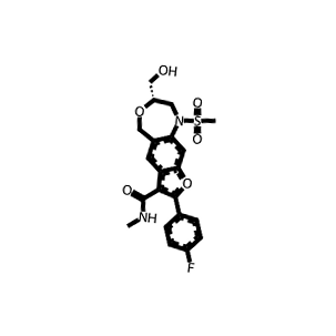 CNC(=O)c1c(-c2ccc(F)cc2)oc2cc3c(cc12)CO[C@H](CO)CN3S(C)(=O)=O